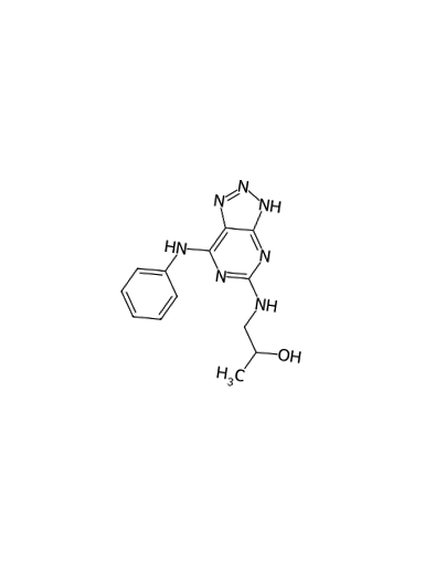 CC(O)CNc1nc(Nc2ccccc2)c2nn[nH]c2n1